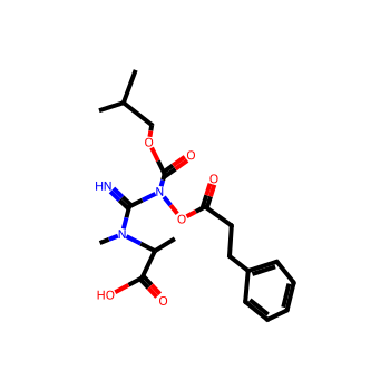 CC(C)COC(=O)N(OC(=O)CCc1ccccc1)C(=N)N(C)C(C)C(=O)O